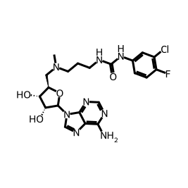 CN(CCCNC(=O)Nc1ccc(F)c(Cl)c1)C[C@H]1OC(n2cnc3c(N)ncnc32)[C@H](O)[C@@H]1O